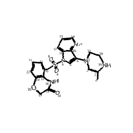 CC1CN(c2cn(S(=O)(=O)c3cccc4c3NC(=O)CO4)c3cccnc23)CCN1